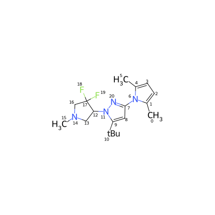 Cc1ccc(C)n1-c1cc(C(C)(C)C)n(C2CN(C)CC2(F)F)n1